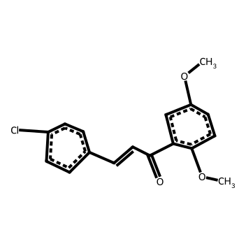 COc1ccc(OC)c(C(=O)C=Cc2ccc(Cl)cc2)c1